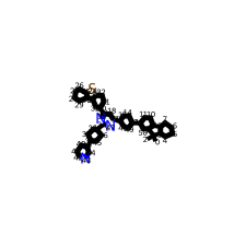 CC1(C)c2ccccc2-c2ccc(-c3ccc(-c4cc(-c5ccc6sc7ccccc7c6c5)nc(-c5ccc(-c6cccnc6)cc5)n4)cc3)cc21